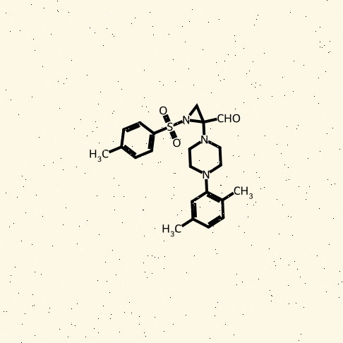 Cc1ccc(S(=O)(=O)N2CC2(C=O)N2CCN(c3cc(C)ccc3C)CC2)cc1